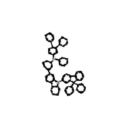 c1ccc(-c2ccc(N(c3ccccc3)c3cccc(-c4ccc5c6ccccc6n(-c6ccc7c(c6)C(c6ccccc6)(c6ccccc6)c6ccccc6-7)c5c4)c3)cc2-c2ccccc2)cc1